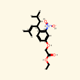 CCOC(=O)COc1ccc(C(C=C(C)C)CC(C)C)c([N+](=O)[O-])c1